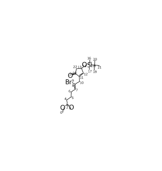 COC(=O)CCC/C=C(\Br)CC1=C[C@H](O[Si](C)(C)C(C)(C)C)CC1=O